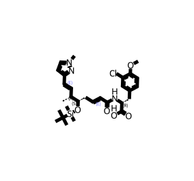 COc1ccc(C[C@@H](NC(=O)/C=C/C[C@H](O[Si](C)(C)C(C)(C)C)[C@H](C)/C=C/c2ccn(C)n2)C(=O)O)cc1Cl